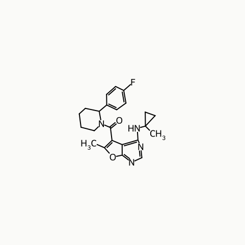 Cc1oc2ncnc(NC3(C)CC3)c2c1C(=O)N1CCCCC1c1ccc(F)cc1